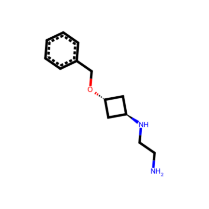 NCCN[C@H]1C[C@H](OCc2ccccc2)C1